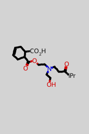 CC(C)C(=O)CCN(CCO)CCOC(=O)C1CC=CCC1C(=O)O